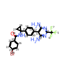 Nc1nc(C(F)(F)F)nc(N)c1-c1ccc(C2(NC(=O)c3ccc(Br)cc3)CC2)cc1